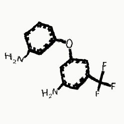 Nc1cccc(Oc2cc(N)cc(C(F)(F)F)c2)c1